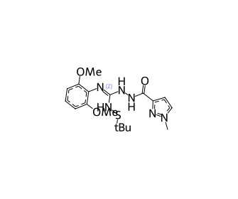 COc1cccc(OC)c1/N=C(/NNC(=O)c1ccn(C)n1)NSC(C)(C)C